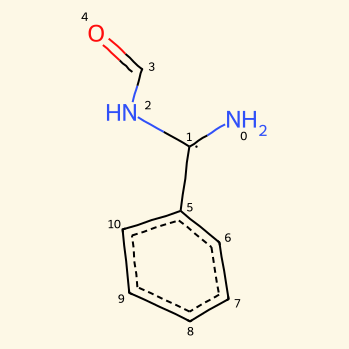 N[C](NC=O)c1ccccc1